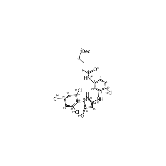 CCCCCCCCCCCCCC(=O)Nc1ccc(Cl)c(Nc2cc(=O)n(-c3c(Cl)cc(Cl)cc3Cl)[nH]2)c1